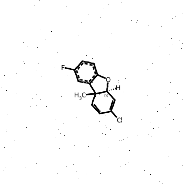 CC12C=CC(Cl)=C[C@@H]1Oc1ccc(F)cc12